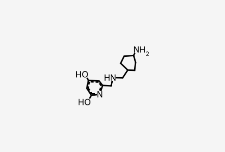 NC1CCC(CNCc2cc(O)cc(O)n2)CC1